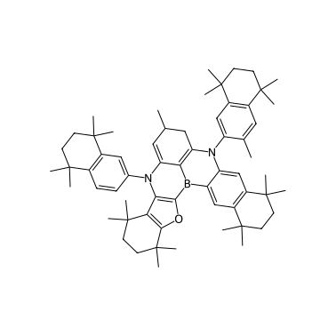 Cc1cc2c(cc1N1C3=C4B(c5cc6c(cc51)C(C)(C)CCC6(C)C)c1oc5c(c1N(c1ccc6c(c1)C(C)(C)CCC6(C)C)C4=CC(C)C3)C(C)(C)CCC5(C)C)C(C)(C)CCC2(C)C